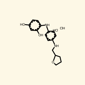 Cl.Cl.Oc1ccc(Nc2ccc(NCC3CCCO3)cc2)c(O)c1